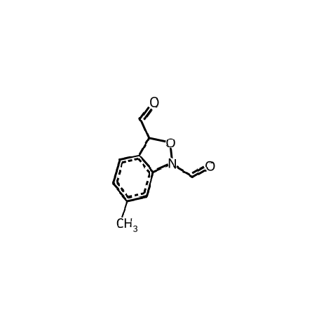 Cc1ccc2c(c1)N(C=O)OC2C=O